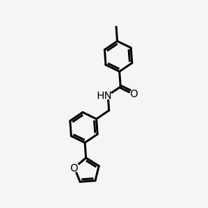 Cc1ccc(C(=O)NCc2cccc(-c3ccco3)c2)cc1